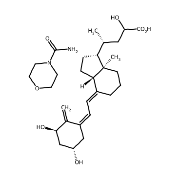 C=C1/C(=C\C=C2CCC[C@]3(C)[C@@H]([C@H](C)CC(O)C(=O)O)CC[C@@H]23)C[C@H](O)C[C@H]1O.NC(=O)N1CCOCC1